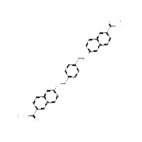 COC(=O)c1ccc2cc(OCc3ccc(COc4ccc5cc(C(=O)O)ccc5c4)cc3)ccc2c1